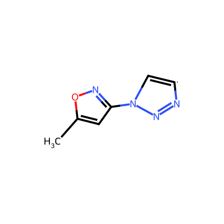 Cc1cc(-n2c[c]nn2)no1